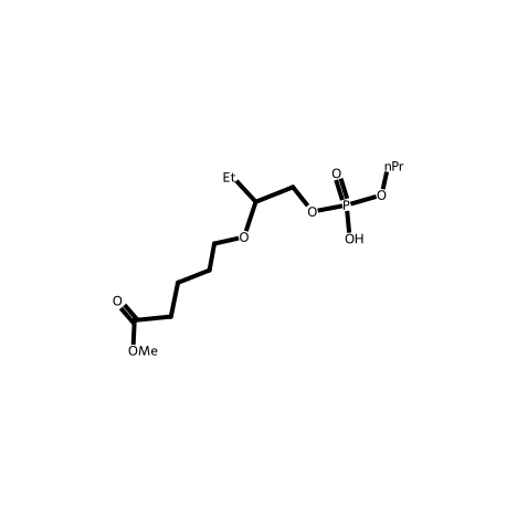 CCCOP(=O)(O)OCC(CC)OCCCCC(=O)OC